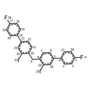 Fc1ccc(-c2ccc(Cc3ccc(-c4ccc(F)cc4)cc3I)c(I)c2)cc1